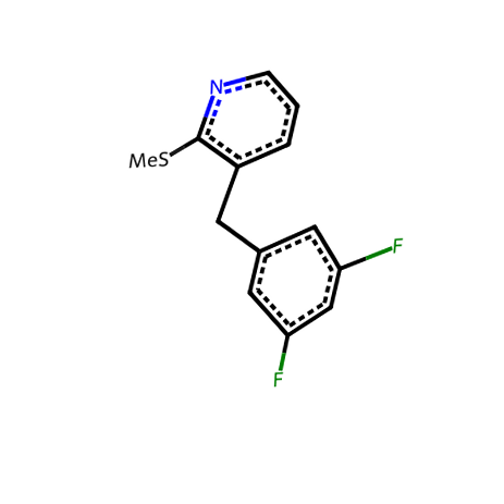 CSc1ncccc1Cc1cc(F)cc(F)c1